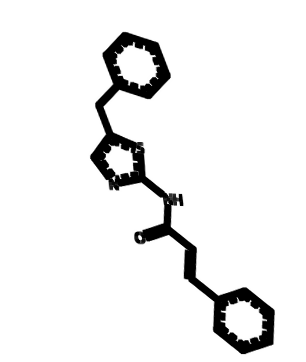 O=C(C=Cc1ccccc1)Nc1ncc(Cc2ccccc2)s1